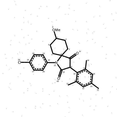 COC1CCC2(CC1)C(=O)C(c1c(C)cc(C)cc1C)C(=O)N2c1ccc(Cl)cc1